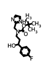 CC(C)(C)OC(=O)N(CCC(O)c1ccc(F)cc1)Cc1ncc[nH]1